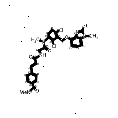 CCc1nc2c(OCc3c(Cl)ccc(N(C)C(=O)CNC(=O)C=Cc4ccc(C(=O)NC)cc4)c3Cl)cccc2n1C